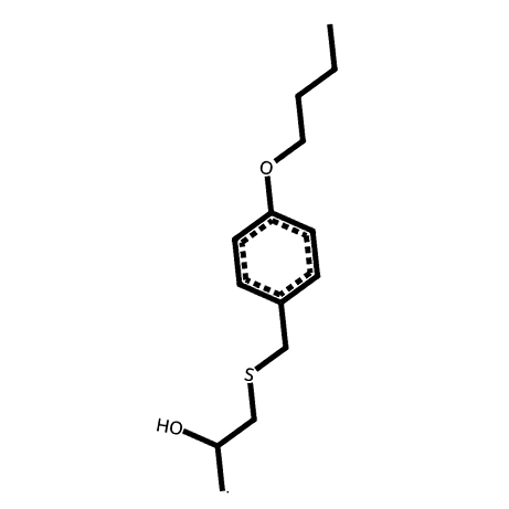 [CH2]C(O)CSCc1ccc(OCCCC)cc1